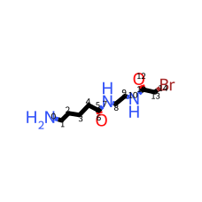 NCCCCC(=O)NCCNC(=O)CBr